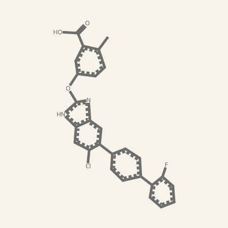 Cc1ccc(Oc2nc3cc(-c4ccc(-c5ccccc5F)cc4)c(Cl)cc3[nH]2)cc1C(=O)O